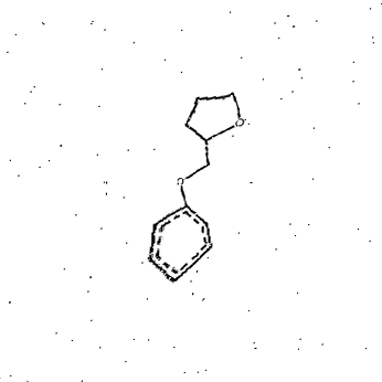 c1ccc(OCC2CCCO2)cc1